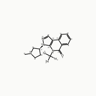 [2H]C([2H])([2H])n1c(=O)c2ccccc2c2cnn([C@H]3CCN(C)C3)c21